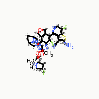 CCOC(C)CN1CC2CCC(C1)N2c1nc(OC[C@@H]2C[C@@H](F)CN2C)nc2c(F)c(-c3ncc(F)c4sc(N)c(C#N)c34)c3c(c12)COC3